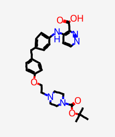 CC(C)(C)OC(=O)N1CCN(CCOc2ccc(Cc3ccc(Nc4ccnnc4C(=O)O)cc3)cc2)CC1